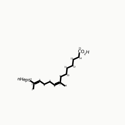 CCCCCCCC(C)=CCCC=C(C)CCCCCCC(=O)O